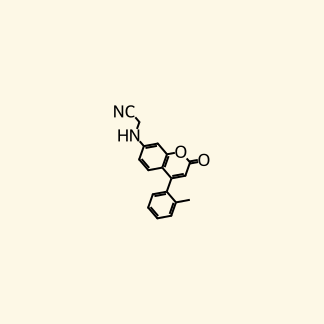 Cc1ccccc1-c1cc(=O)oc2cc(NCC#N)ccc12